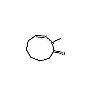 CN1/N=C\CCCCCC1=O